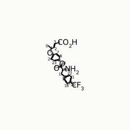 CC(/C=C/C(=O)O)Oc1ccc(OC(=O)[C@@H](N)Cc2ccc(C(F)(F)F)cc2)cc1